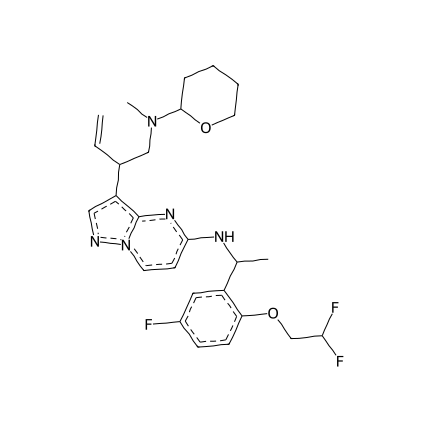 C=CC(CN(C)C1CCCCO1)c1cnn2ccc(NC(C)c3cc(F)ccc3OCC(F)F)nc12